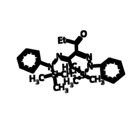 CCC(=O)C(=NN(c1ccccc1)[Si](C)(C)C)C(C)=NN(c1ccccc1)[Si](C)(C)C